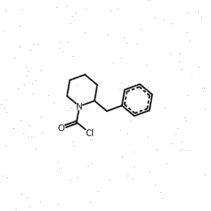 O=C(Cl)N1CCCCC1Cc1ccccc1